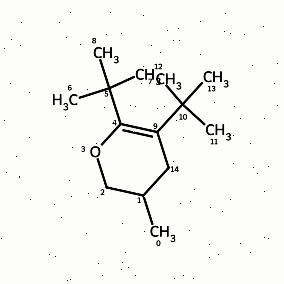 CC1COC(C(C)(C)C)=C(C(C)(C)C)C1